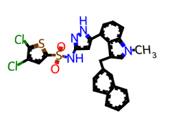 Cn1cc(Cc2ccc3ccccc3c2)c2c(-c3cc(NS(=O)(=O)c4cc(Cl)c(Cl)s4)n[nH]3)cccc21